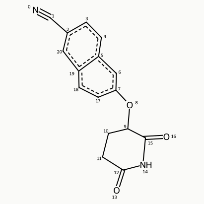 N#Cc1ccc2cc(OC3CCC(=O)NC3=O)ccc2c1